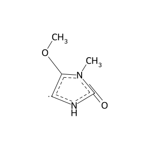 COc1[c][nH]c(=O)n1C